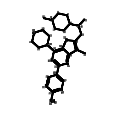 Cc1c(CN(C)C2CCN(C)CC2)sc2c(N3CCOCC3)nc(-c3cnc(N)nc3)nc12